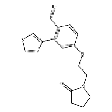 O=Cc1ccc(OCCN2CCCC2=O)cc1-c1ccsc1